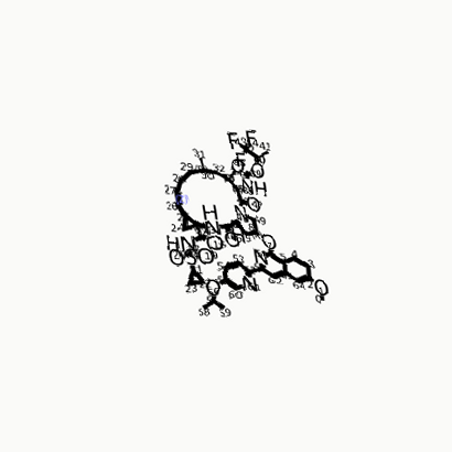 COc1ccc2c(O[C@@H]3C[C@H]4C(=O)N[C@]5(C(=O)NS(=O)(=O)C6CC6)CC5/C=C\CC[C@@H](C)C[C@@H](C)[C@H](NC(=O)O[C@H](C)C(F)(F)F)C(=O)N4C3)nc(-c3ccc(OC(C)C)cn3)cc2c1